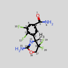 C[C@]1(c2cc(C(N)=O)cc(F)c2F)N=C(N)OCC1(F)F